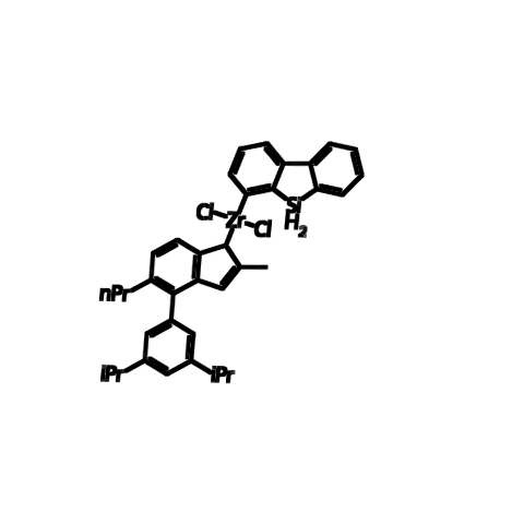 CCCc1ccc2c(c1-c1cc(C(C)C)cc(C(C)C)c1)C=C(C)[CH]2[Zr]([Cl])([Cl])[c]1cccc2c1[SiH2]c1ccccc1-2